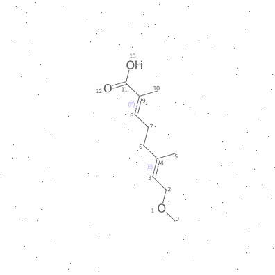 COC/C=C(\C)CC/C=C(\C)C(=O)O